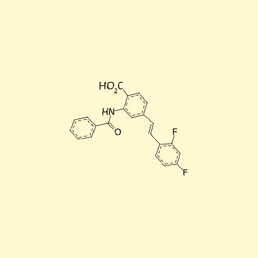 O=C(Nc1cc(/C=C/c2ccc(F)cc2F)ccc1C(=O)O)c1ccccc1